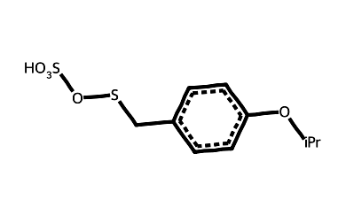 CC(C)Oc1ccc(CSOS(=O)(=O)O)cc1